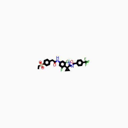 CCS(=O)(=O)c1ccc(CC(=O)Nc2cc(F)c(C3(c4noc(-c5ccc(C(F)(F)F)cc5)n4)CC3)c(Cl)c2)cc1